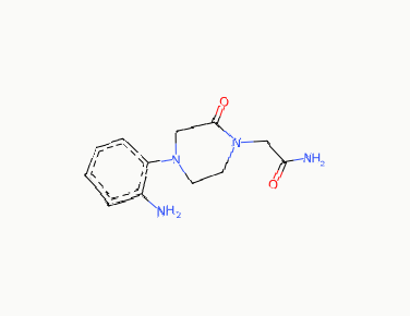 NC(=O)CN1CCN(c2ccccc2N)CC1=O